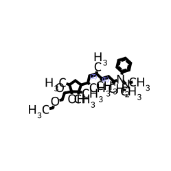 C=C(/C=C(C)/C(C)=C\C(C)C1CC(C)C(O)(C(=O)COCC)C1(C)C)N(c1ccccc1)N(C)C